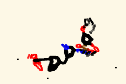 COc1ccc(OC)c(S(=O)(=O)Nc2cncc(Cc3ccc(C(=O)O)cc3)c2)c1